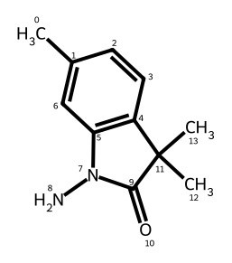 Cc1ccc2c(c1)N(N)C(=O)C2(C)C